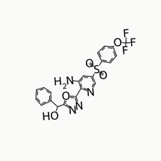 Nc1cc(S(=O)(=O)c2ccc(OC(F)(F)F)cc2)cnc1-c1nnc(C(O)c2ccccc2)o1